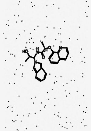 CC(O)C(NC(=O)[C@@H](C)Oc1cccc2cccnc12)n1cc2ccccc2c1